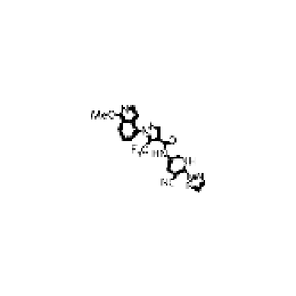 COc1nccc2c(-n3ncc(C(=O)NC4=CC(C#N)=C(n5nccn5)NC4)c3C(F)(F)F)cccc12